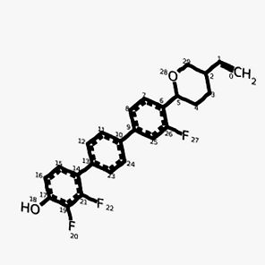 C=CC1CCC(c2ccc(-c3ccc(-c4ccc(O)c(F)c4F)cc3)cc2F)OC1